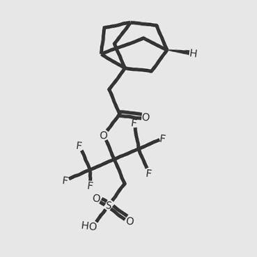 O=C(CC12CC3CC1C[C@H](C3)C2)OC(CS(=O)(=O)O)(C(F)(F)F)C(F)(F)F